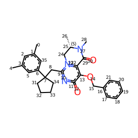 Cc1cc(C)cc(C2(Cc3nc(=O)c(OCc4ccccc4)c4n3C[C@H](C)N(C)C4=O)CCCC2)c1